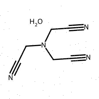 N#CCN(CC#N)CC#N.O